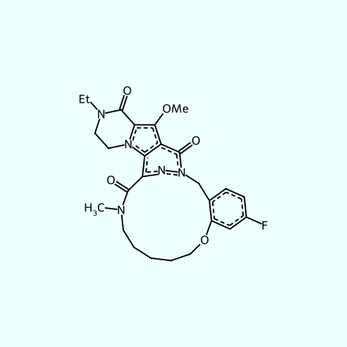 CCN1CCn2c(c(OC)c3c(=O)n4nc(c32)C(=O)N(C)CCCCCOc2cc(F)ccc2C4)C1=O